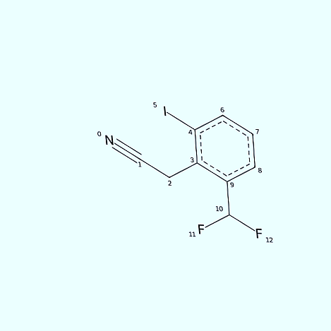 N#CCc1c(I)cccc1C(F)F